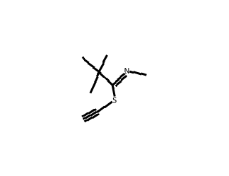 C#CS/C(=N\C)C(C)(C)C